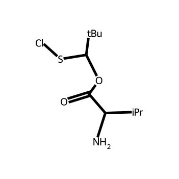 CC(C)C(N)C(=O)OC(SCl)C(C)(C)C